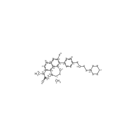 C[C@H]1COc2c(-c3ccc(COCCN4CCCCC4)nc3)c(F)cc3ncc(N(C)C=O)c(c23)N1C